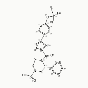 O=C(O)N1CCN(C(=O)n2ncc(-c3ccc(OC(F)(F)F)cc3)n2)C(c2ccccc2)C1